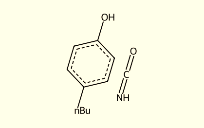 CCCCc1ccc(O)cc1.N=C=O